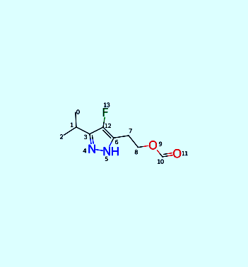 CC(C)c1n[nH]c(CCOC=O)c1F